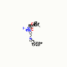 COc1cc2c(cc1OC)CN(CCc1ccc(NC(=O)c3cc(O[Si](C)(C)C(C)(C)C)ccc3N)cc1)CC2